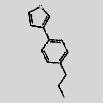 CCCc1ccc(-c2ccoc2)cc1